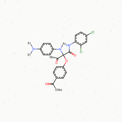 CCN(CC)c1ccc(N(C(C)=O)C(Oc2ccc(C(=O)OC)cc2)(C(=O)Nc2ccc(Cl)cc2Cl)C(=O)C(C)(C)C)cc1